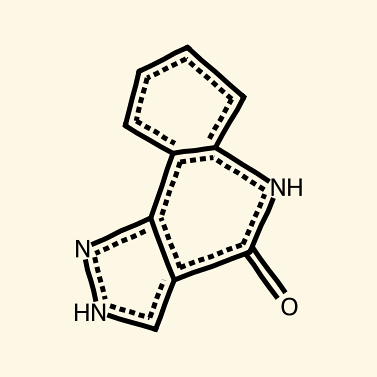 O=c1[nH]c2ccccc2c2n[nH]cc12